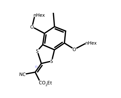 CCCCCCOc1cc(C)c(OCCCCCC)c2c1S/C(=C(/C#N)C(=O)OCC)S2